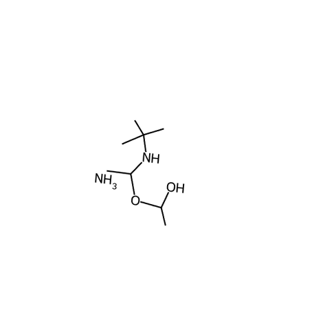 CC(O)OC(C)NC(C)(C)C.N